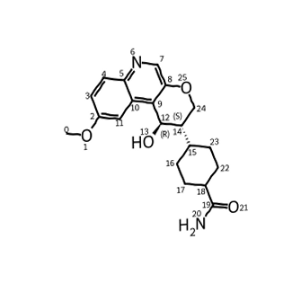 COc1ccc2ncc3c(c2c1)[C@H](O)[C@@H](C1CCC(C(N)=O)CC1)CO3